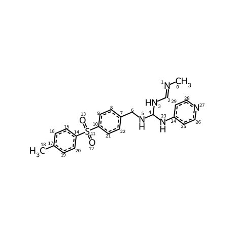 CN=CNC(NCc1ccc(S(=O)(=O)c2ccc(C)cc2)cc1)Nc1ccncc1